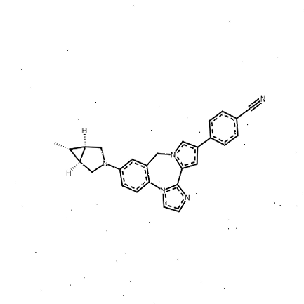 C[C@@H]1[C@H]2CN(c3ccc4c(c3)Cn3cc(-c5ccc(C#N)cc5)cc3-c3nccn3-4)C[C@@H]12